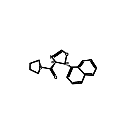 O=C([C@H]1N=CO[C@@H]1c1cccc2ccccc12)N1CCCC1